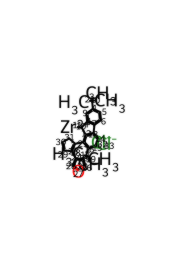 CC(C)(C)c1ccc2c(c1)[CH]([Zr+2])c1c-2ccc(C(C)(C)C)c1C1=C(c2ccoc2)C=CC1.[Cl-].[Cl-]